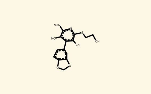 CNc1nc(SCCO)c(C#N)c(-c2ccc3c(c2)OCO3)c1C#N